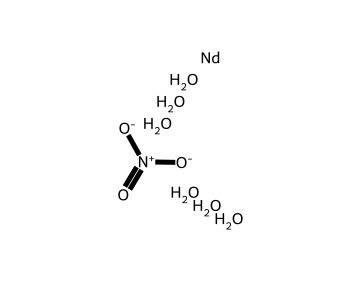 O.O.O.O.O.O.O=[N+]([O-])[O-].[Nd]